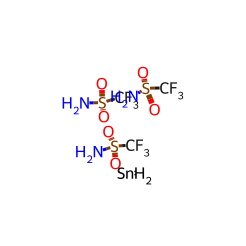 NS(=O)(=O)C(F)(F)F.NS(=O)(=O)C(F)(F)F.NS(=O)(=O)C(F)(F)F.[SnH2]